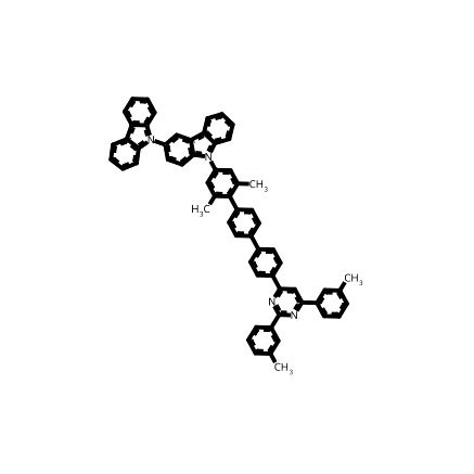 Cc1cccc(-c2cc(-c3ccc(-c4ccc(-c5c(C)cc(-n6c7ccccc7c7cc(-n8c9ccccc9c9ccccc98)ccc76)cc5C)cc4)cc3)nc(-c3cccc(C)c3)n2)c1